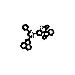 C1=CC2=C(CC1)C1(c3ccccc3Oc3cc(-c4nc(-c5ccccc5)cc(-c5cc6c7c(cccc7c5)CC=C6)n4)ccc31)c1ccccc12